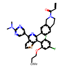 C=CC(=O)N1CCc2ccc(-c3nc(-c4cnc(N(C)C)nc4)c4ccsc4c3-c3c(F)cc(F)cc3OCCOC)cc2C1